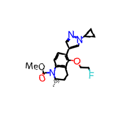 COC(=O)N1c2ccc(-c3cnn(C4CC4)c3)c(OCCF)c2CC[C@@H]1C